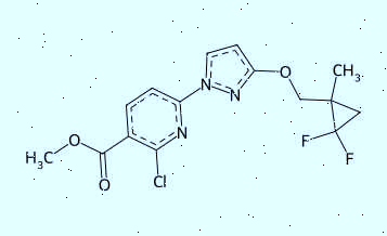 COC(=O)c1ccc(-n2ccc(OCC3(C)CC3(F)F)n2)nc1Cl